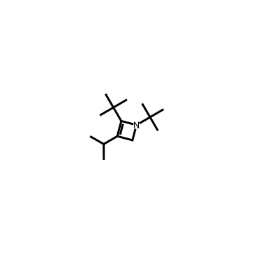 CC(C)C1=C(C(C)(C)C)N(C(C)(C)C)C1